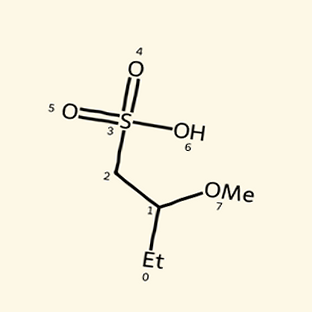 CCC(CS(=O)(=O)O)OC